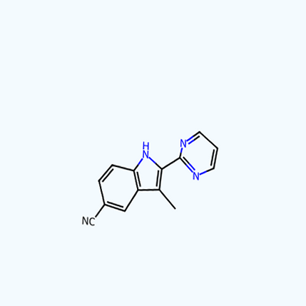 Cc1c(-c2ncccn2)[nH]c2ccc(C#N)cc12